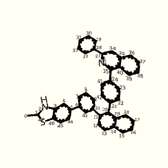 CC1Nc2cc(-c3cccc(-c4ccc5ccccc5c4-c4ccc(-c5nc(-c6ccccc6)cc6ccccc56)cc4)c3)ccc2S1